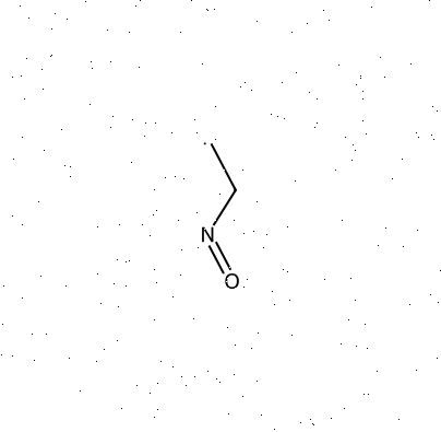 [CH2]CN=O